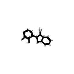 CCC1C(c2cccc(C)c2C)[C]C2C=CC=CC21